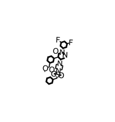 COC(=O)c1cccc(-c2c(N3CCN(S(=O)(=O)Cc4ccccc4)CC3)cnn(-c3cc(F)cc(F)c3)c2=O)c1